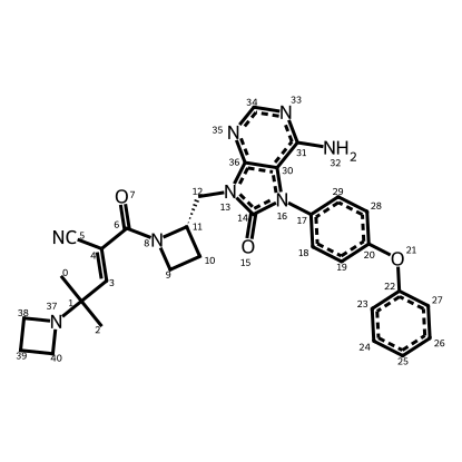 CC(C)(C=C(C#N)C(=O)N1CC[C@H]1Cn1c(=O)n(-c2ccc(Oc3ccccc3)cc2)c2c(N)ncnc21)N1CCC1